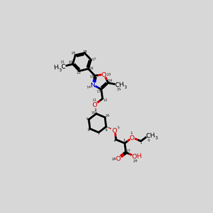 CCOC(CO[C@@H]1CCC[C@H](OCc2nc(-c3cccc(C)c3)oc2C)C1)C(=O)O